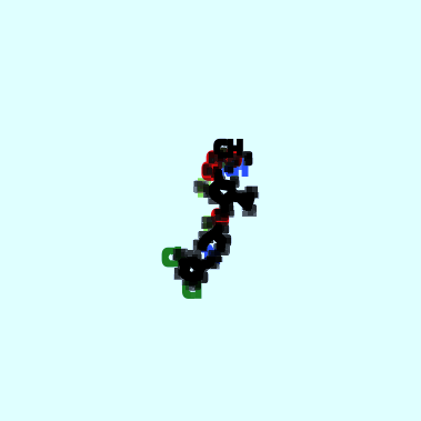 CS(=O)(=O)NC(=O)c1cc(C2CC2)c(COCC2(F)CCN(Cc3cc(Cl)cc(Cl)c3)CC2)cc1F